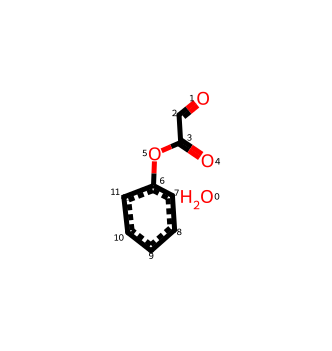 O.O=CC(=O)Oc1ccccc1